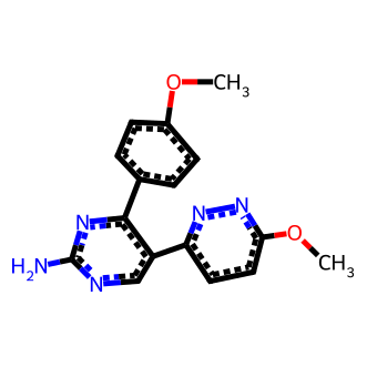 COc1ccc(-c2nc(N)ncc2-c2ccc(OC)nn2)cc1